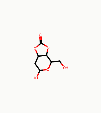 O=C1OC2CC(O)OC(CO)C2O1